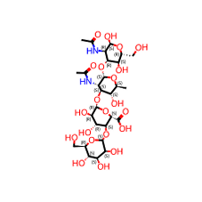 CC(=O)N[C@@H]1[C@H](O[C@H]2[C@H](O)[C@@H](CO)O[C@H](O)[C@@H]2NC(C)=O)O[C@@H](C)[C@H](O)[C@H]1O[C@@H]1O[C@H](C(=O)O)[C@@H](O[C@@H]2O[C@H](CO)[C@@H](O)[C@H](O)[C@@H]2O)[C@H](O)[C@H]1O